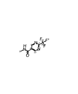 CNC(=O)c1cnc(C(F)(F)F)nc1